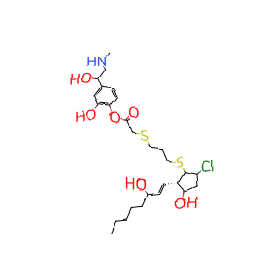 CCCCCC(O)/C=C/[C@H]1C(O)CC(Cl)[C@@H]1SCCCSCC(=O)Oc1ccc(C(O)CNC)cc1O